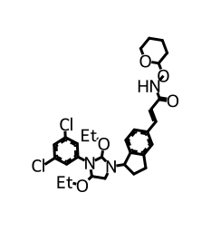 CCOC1CN(C2CCc3cc(/C=C/C(=O)NOC4CCCCO4)ccc32)C(OCC)N1c1cc(Cl)cc(Cl)c1